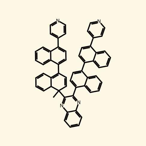 CC1(c2nc3ccccc3nc2-c2ccc(-c3ccc(-c4ccncc4)c4ccccc34)c3ccccc23)C=CC(c2ccc(-c3ccncc3)c3ccccc23)=C2C=CC=CC21